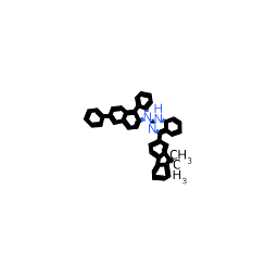 CC1(C)c2ccccc2-c2ccc(C3=C4C=CC=CC4NC(n4c5ccccc5c5c6ccc(-c7ccccc7)cc6ccc54)=N3)cc21